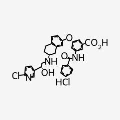 Cl.O=C(O)c1cc(NC(=O)c2ccccc2)cc(Oc2ccc3c(c2)C[C@@H](NC[C@H](O)c2ccc(Cl)nc2)CC3)c1